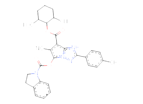 Cc1ccc(-c2nn3c(OC(=O)N4CCc5ccccc54)c(C#N)c(C(=O)OC4C(C)CCCC4C)c3[nH]2)cc1